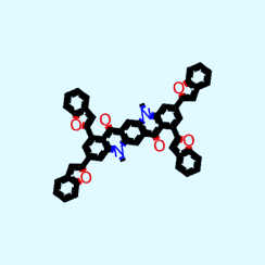 Cn1c2cc3c(=O)c4c(-c5cc6ccccc6o5)cc(-c5cc6ccccc6o5)cc4n(C)c3cc2c(=O)c2c(-c3cc4ccccc4o3)cc(-c3cc4ccccc4o3)cc21